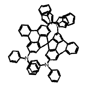 c1ccc(N(c2ccccc2)c2cc3c4c(c2)c2ccccc2c2cc(N(c5ccccc5)c5ccccc5)cc(c24)C32c3cc(N(c4ccccc4)c4ccccc4)cc4c5ccccc5c5cc(N(c6ccccc6)c6ccccc6)cc2c5c34)cc1